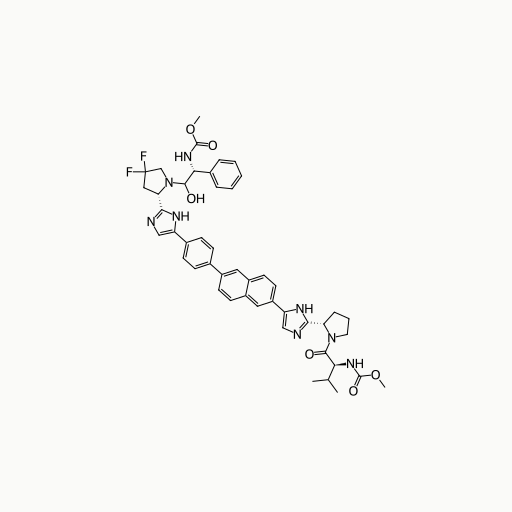 COC(=O)N[C@H](C(=O)N1CCC[C@H]1c1ncc(-c2ccc3cc(-c4ccc(-c5cnc([C@@H]6CC(F)(F)CN6C(O)[C@H](NC(=O)OC)c6ccccc6)[nH]5)cc4)ccc3c2)[nH]1)C(C)C